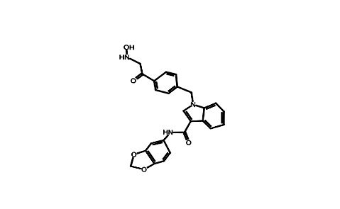 O=C(CNO)c1ccc(Cn2cc(C(=O)Nc3ccc4c(c3)OCO4)c3ccccc32)cc1